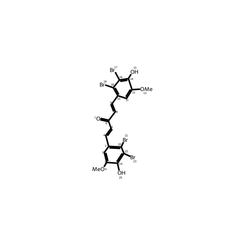 COc1cc(C=CC(=O)C=Cc2cc(OC)c(O)c(Br)c2Br)c(Br)c(Br)c1O